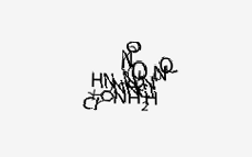 C=CC(=O)N1CC(NC(=O)c2c(Cl)nc(CNC(=N)c3cc(C(C)(C)C)c(Cl)cc3N)n2C2CCN(C3COC3)C2)C1